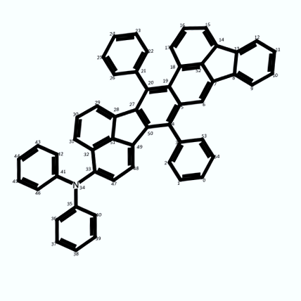 c1ccc(-c2c3cc4c5ccccc5c5cccc(c3c(-c3ccccc3)c3c6cccc7c(N(c8ccccc8)c8ccccc8)ccc(c23)c76)c54)cc1